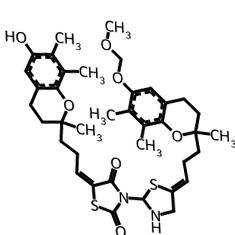 COCOc1cc2c(c(C)c1C)OC(C)(CCC=C1CNC(N3C(=O)SC(=CCCC4(C)CCc5cc(O)c(C)c(C)c5O4)C3=O)S1)CC2